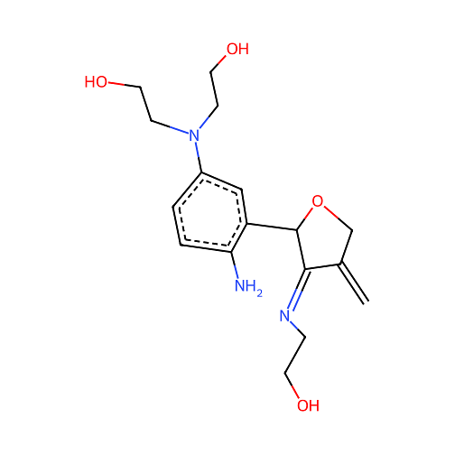 C=C1COC(c2cc(N(CCO)CCO)ccc2N)C1=NCCO